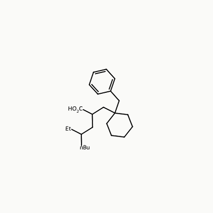 CCCCC(CC)CC(CC1(Cc2ccccc2)CCCCC1)C(=O)O